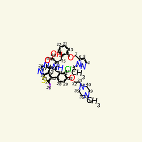 CCn1nccc1COc1ccccc1C[C@@H](Nc1ncnc2sc(I)c(-c3ccc(OCCN4CCN(C)CC4)c(Cl)c3C)c12)C(=O)O